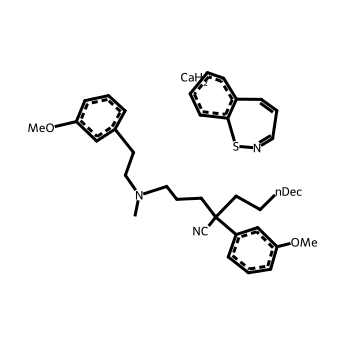 C1=Cc2ccccc2SN=C1.CCCCCCCCCCCCC(C#N)(CCCN(C)CCc1cccc(OC)c1)c1cccc(OC)c1.[CaH2]